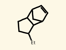 CCC1CCC2C3C=CC(C3)C12